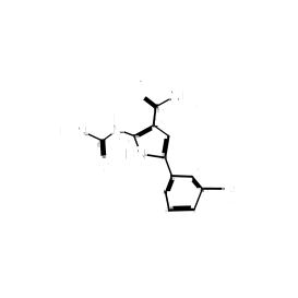 NC(=O)Nc1[nH]c(-c2cccc(Br)c2)cc1C(N)=O